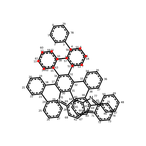 c1ccc(-c2ccccc2-c2ccccc2-c2c(-c3ccccc3-c3ccccc3)c3c(c(-c4ccccc4-c4ccccc4-c4ccccc4)c2-c2ccccc2-c2ccccc2)-c2c4c(ccc2=N3)=c2ccccc2=N4)cc1